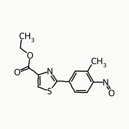 CCOC(=O)c1csc(-c2ccc(N=O)c(C)c2)n1